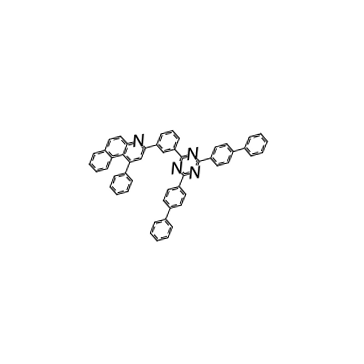 c1ccc(-c2ccc(-c3nc(-c4ccc(-c5ccccc5)cc4)nc(-c4cccc(-c5cc(-c6ccccc6)c6c(ccc7ccccc76)n5)c4)n3)cc2)cc1